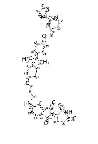 CC(C)(c1ccc(OCCCNc2ccc3c(c2)C(=O)N(C2CCC(=O)NC2=O)C3=O)cc1)c1ccc(OCc2ccnc(-n3nccn3)n2)cc1